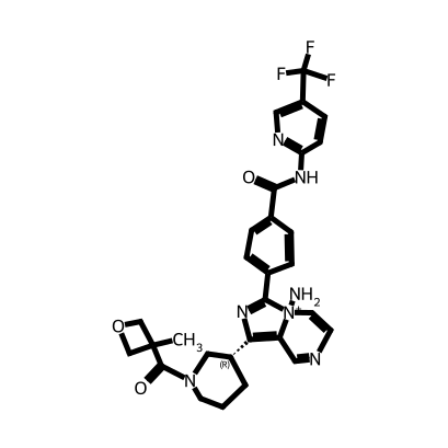 CC1(C(=O)N2CCC[C@@H](C3=C4C=NC=C[N+]4(N)C(c4ccc(C(=O)Nc5ccc(C(F)(F)F)cn5)cc4)=N3)C2)COC1